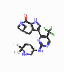 CC1(C)CC[C@H](Nc2ncc(C(F)(F)F)c(-c3c[nH]c4c3CC3CN(C3)C4=O)n2)CN1